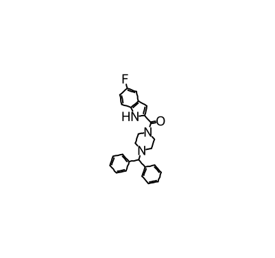 O=C(c1cc2cc(F)ccc2[nH]1)N1CCN(C(c2ccccc2)c2ccccc2)CC1